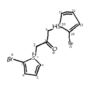 O=C(C[SH]1C=CC=C1Br)C[SH]1C=CC=C1Br